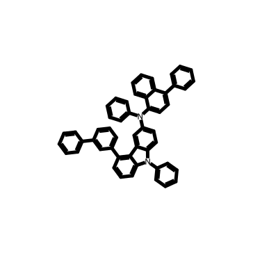 c1ccc(-c2cccc(-c3cccc4c3c3cc(N(c5ccccc5)c5ccc(-c6ccccc6)c6ccccc56)ccc3n4-c3ccccc3)c2)cc1